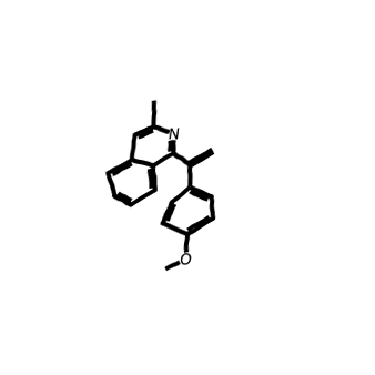 C=C(c1ccc(OC)cc1)c1nc(C)cc2ccccc12